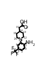 Nc1ccc(C(F)(F)F)cc1N1CCC(CC(=O)O)CC1